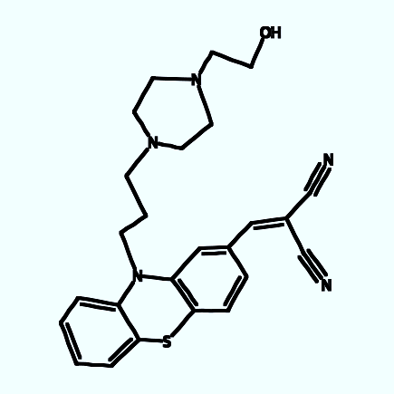 N#CC(C#N)=Cc1ccc2c(c1)N(CCCN1CCN(CCO)CC1)c1ccccc1S2